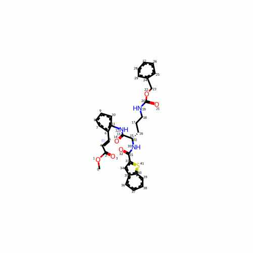 COC(=O)/C=C/c1ccccc1NC(=O)[C@H](CCCNC(=O)OCc1ccccc1)NC(=O)c1cc2ccccc2s1